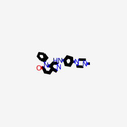 CN1CCN(c2ccc(Nc3cc4c(ccc(=O)n4C4CC5CCC4C5)cn3)cc2)CC1